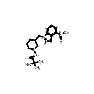 CC(C)(C)C(=O)ON1CCCC(Cn2ncc3c([N+](=O)[O-])cccc32)C1